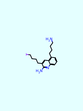 NCCCCc1cccc2nc(N)c(CCCCI)cc12